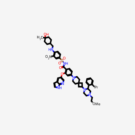 COCCN1CCN(C2CC3(CCN(c4ccc(C(=O)NS(=O)(=O)c5ccc(NCC6CCC(C)(O)CC6)c([N+](=O)[O-])c5)c(Oc5cnc6[nH]ccc6c5)c4)CC3)C2)C(c2ccccc2C(C)C)C1